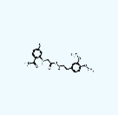 COc1ccc(CCNOC(=O)CNc2cc(Cl)ccc2C(N)=O)cc1OC